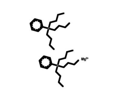 CCCC[B-](CCCC)(CCCC)c1ccccc1.CCCC[B-](CCCC)(CCCC)c1ccccc1.[Mg+2]